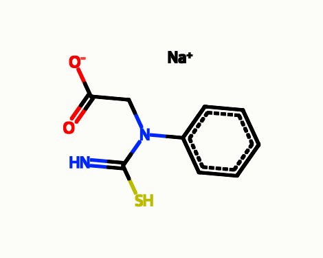 N=C(S)N(CC(=O)[O-])c1ccccc1.[Na+]